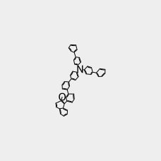 c1ccc(-c2ccc(N(c3ccc(-c4ccccc4)cc3)c3ccc(-c4cccc(-c5cccc6c5oc5ccc7ccccc7c56)c4)cc3)cc2)cc1